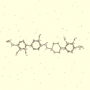 CCCOc1ccc(-c2ccc(OCC3CCC(c4ccc(C)c(F)c4F)CC3)c(F)c2)c(F)c1F